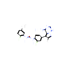 CC(=O)c1cn2ncnc(N)c2c1-c1ccc(NC(=O)Nc2cc(C(F)(F)F)ccc2F)c(F)c1